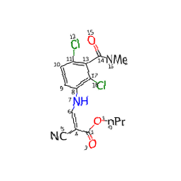 CCCOC(=O)C(C#N)=CNc1ccc(Cl)c(C(=O)NC)c1Cl